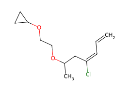 C=C/C=C(/Cl)CC(C)OCCOC1CC1